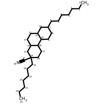 CCCCCCCC1CCC2C(CCC3CC(C#N)(CCCCCCC)CCC32)C1